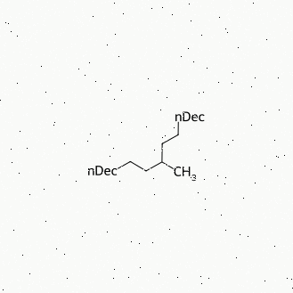 [CH2]CCCCCCCCCCCC(C)CCCCCCCCCCCC